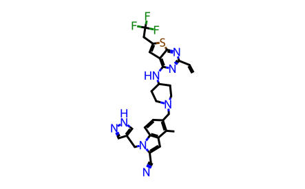 C=Cc1nc(NC2CCN(Cc3ccc4c(cc(C#N)n4Cc4cn[nH]c4)c3C)CC2)c2cc(CC(F)(F)F)sc2n1